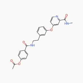 CNC(=O)c1cc(Oc2cccc(CCNC(=O)c3ccc(OC(C)=O)cc3)c2)ccn1